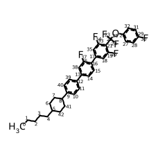 CCCCCC1CCC(c2ccc(-c3ccc(-c4cc(F)c(C(F)(F)Oc5ccc(F)cc5)c(F)c4)c(F)c3)cc2)CC1